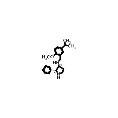 COc1ccc(C(C)C)cc1CN[C@@H]1CCN[C@@H]1c1ccccc1